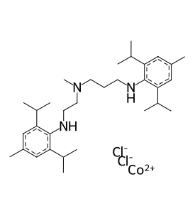 Cc1cc(C(C)C)c(NCCCN(C)CCNc2c(C(C)C)cc(C)cc2C(C)C)c(C(C)C)c1.[Cl-].[Cl-].[Co+2]